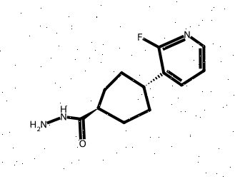 NNC(=O)[C@H]1CC[C@H](c2cccnc2F)CC1